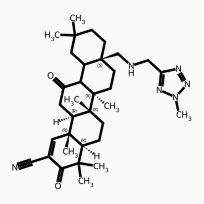 Cn1nnc(CNC[C@]23CCC(C)(C)CC2C2C(=O)C[C@@H]4[C@@]5(C)C=C(C#N)C(=O)C(C)(C)[C@@H]5CC[C@@]4(C)[C@]2(C)CC3)n1